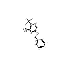 CC(C)(C)c1ncc(SCc2ccccc2)cc1N